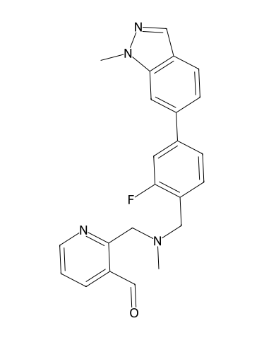 CN(Cc1ccc(-c2ccc3cnn(C)c3c2)cc1F)Cc1ncccc1C=O